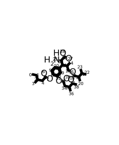 CCC(C)CC(=O)Oc1ccc(C(C(C)COC(=O)C(C)C(C)C)[C@H](N)C(=O)O)cc1OC(=O)CC(C)CC